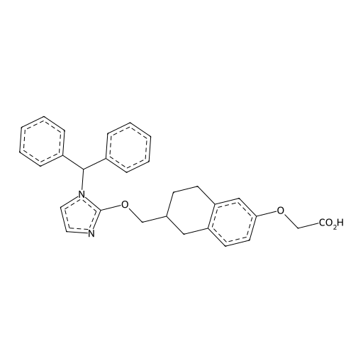 O=C(O)COc1ccc2c(c1)CCC(COc1nccn1C(c1ccccc1)c1ccccc1)C2